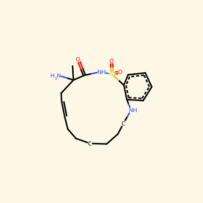 CC1(N)C/C=C/CCCCCCNc2ccccc2S(=O)(=O)NC1=O